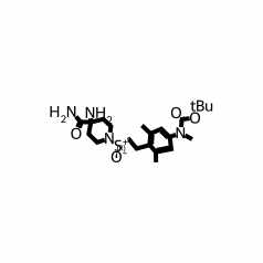 Cc1cc(N(C)C(=O)OC(C)(C)C)cc(C)c1CC[S@+]([O-])N1CCC(N)(C(N)=O)CC1